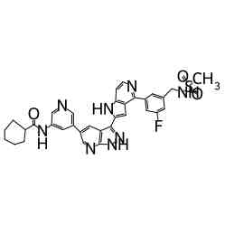 CS(=O)(=O)NCc1cc(F)cc(-c2nccc3[nH]c(-c4n[nH]c5ncc(-c6cncc(NC(=O)C7CCCCC7)c6)cc45)cc23)c1